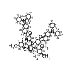 Cc1cc(C)c(N2c3cc4c(cc3B3c5cc6oc7c8ccc(N(c9ccccc9)c9ccccc9)cc8ccc7c6cc5N(c5c(C)cc(C)cc5C)c5cccc2c53)oc2c3ccc(N(c5ccccc5)c5ccccc5)cc3ccc42)c(C)c1